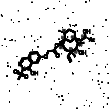 C=C[C@]1(C)C[C@@H](OC(=O)COc2ccc3c(c2)B(O)N(S(C)(=O)=O)N=C3)[C@@]2(C)C[C@](C[C@H](O)C(C)=O)(CC[C@H]2C)[C@@H](C)[C@@H]1O